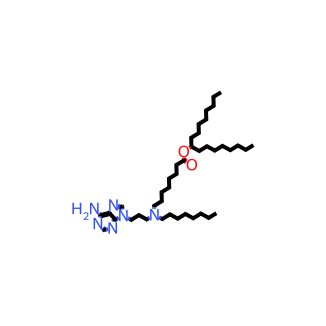 CCCCCCCCC(CCCCCCCC)OC(=O)CCCCCCCN(CCCCCCCC)CCCn1cnc2c(N)ncnc21